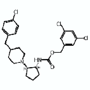 O=C(N[C@@H]1CCC[C@H]1N1CCC(Cc2ccc(Cl)cc2)CC1)OCc1cc(Cl)cc(Cl)c1